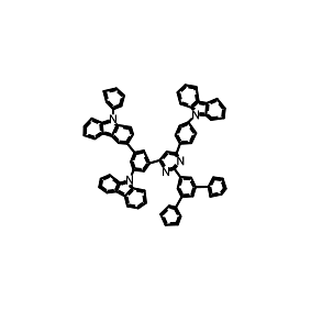 c1ccc(-c2cc(-c3ccccc3)cc(-c3nc(-c4ccc(-n5c6ccccc6c6ccccc65)cc4)cc(-c4cc(-c5ccc6c(c5)c5ccccc5n6-c5ccccc5)cc(-n5c6ccccc6c6ccccc65)c4)n3)c2)cc1